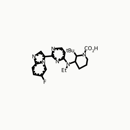 CCN(c1ccnc(-c2cnc3ccc(F)cn23)n1)C1CCCN(C(=O)O)C1C(C)(C)C